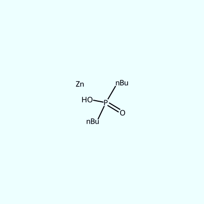 CCCCP(=O)(O)CCCC.[Zn]